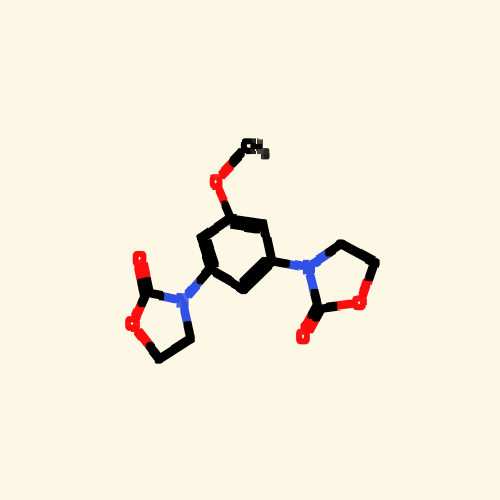 COc1cc(N2CCOC2=O)cc(N2CCOC2=O)c1